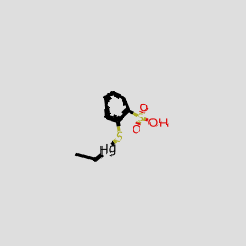 C[CH2][Hg][S]c1ccccc1S(=O)(=O)O